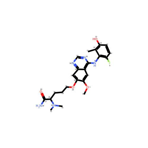 COc1cc2c(Nc3c(F)ccc(O)c3C)ncnc2cc1OCCCC(C(N)=O)N(C)C